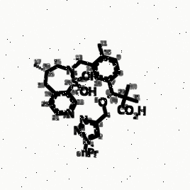 CCCn1cc(CO[C@H](c2ccc(C)c(CN3C[C@@H](C)Cc4ccncc4S3(O)O)c2)C(C)(C)C(=O)O)nn1